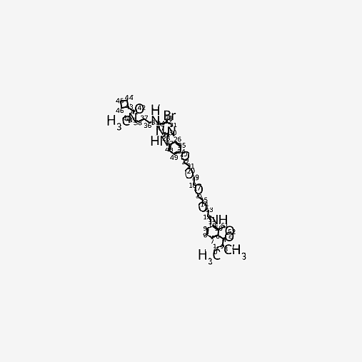 CCC(C)C(=O)c1cccc(NCCOCCOCCOCCOc2ccc(Nc3ncc(Br)c(NCCCN(C)C(=O)C4CCC4)n3)cc2)c1C=O